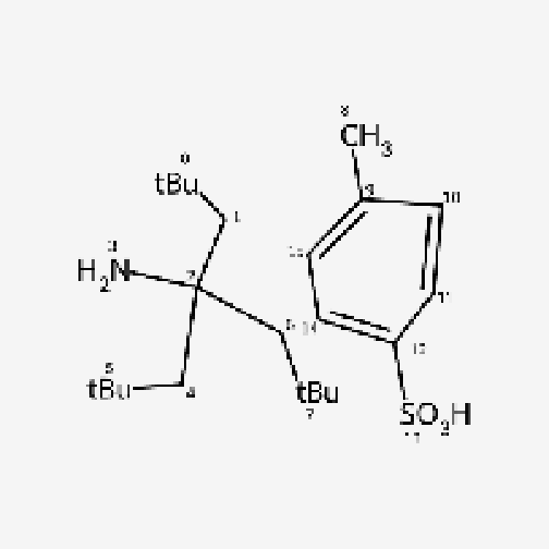 CC(C)(C)CC(N)(CC(C)(C)C)CC(C)(C)C.Cc1ccc(S(=O)(=O)O)cc1